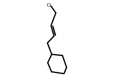 ClC/C=C/CC1CCCCC1